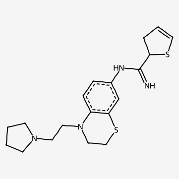 N=C(Nc1ccc2c(c1)SCCN2CCN1CCCC1)C1CC=CS1